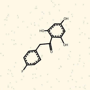 O=C(Cc1ccc(F)cc1)c1c(O)cc(O)cc1O